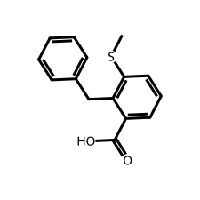 CSc1cccc(C(=O)O)c1Cc1ccccc1